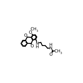 COc1ccc(NCCCCNC(C)=O)c2c1C(=O)c1ccccc1C2=O